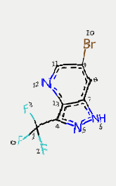 FC(F)(F)c1n[nH]c2cc(Br)cnc12